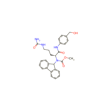 COC(=O)N(C1c2ccccc2-c2ccccc21)[C@@H](CCCNC(N)=O)C(=O)Nc1ccc(CO)cc1